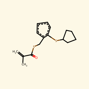 C=C(C)C(=O)SCc1ccccc1SC1CCCC1